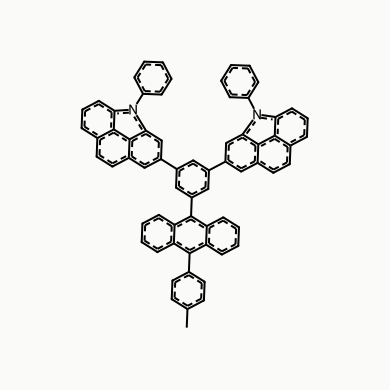 Cc1ccc(-c2c3ccccc3c(-c3cc(-c4cc5ccc6cccc7c6c5c(c4)n7-c4ccccc4)cc(-c4cc5ccc6cccc7c6c5c(c4)n7-c4ccccc4)c3)c3ccccc23)cc1